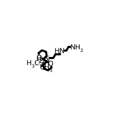 C[SiH](C)C1(C2([SiH2]CCCNCCN)CCCCO2)CCCCO1